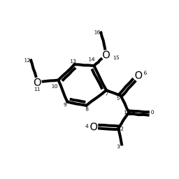 C=C(C(C)=O)C(=O)c1ccc(OC)cc1OC